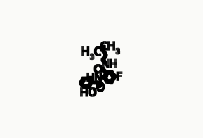 CC(C)CCNC(=O)c1cc(F)ccc1NC(=O)c1ccccc1O